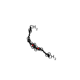 C=CCOOCCCCCCOc1ccc(COO[C@@H]2COC3C(OC(=O)c4ccc(OCCCCCCOC(=O)C=C)cc4)COC32)cc1